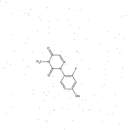 Cn1c(=O)cnn(-c2ccc(O)cc2F)c1=O